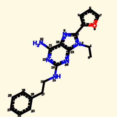 CCn1c(-c2ccco2)nc2c(N)nc(NCCc3ccccc3)nc21